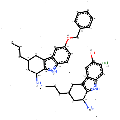 CCCC1Cc2c([nH]c3ccc(O)cc23)C(N)C1.CCCC1Cc2c([nH]c3ccc(OCc4ccccc4)cc23)C(N)C1.Cl